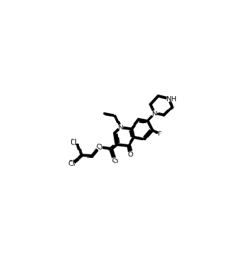 CCn1cc(C(=O)OCC(Cl)Cl)c(=O)c2cc(F)c(N3CCNCC3)cc21